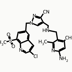 Cc1cc(N)nc(C)c1CNCc1cn(Cc2cc(S(C)(=O)=O)c3ncc(Cl)cc3c2)nc1C#N